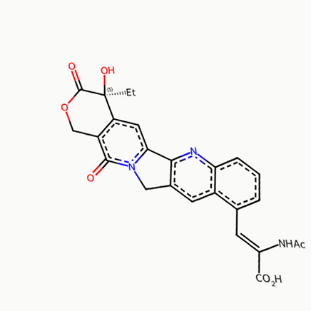 CC[C@@]1(O)C(=O)OCc2c1cc1n(c2=O)Cc2cc3c(C=C(NC(C)=O)C(=O)O)cccc3nc2-1